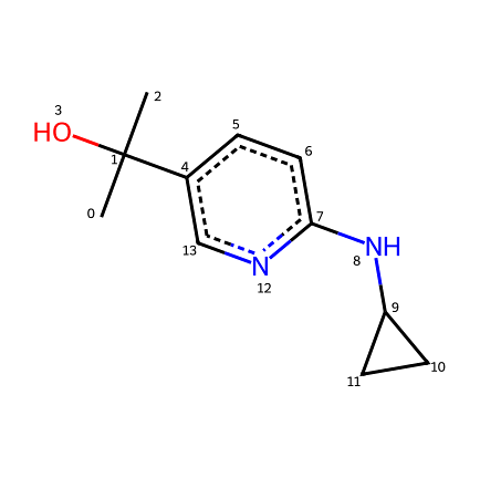 CC(C)(O)c1ccc(NC2CC2)nc1